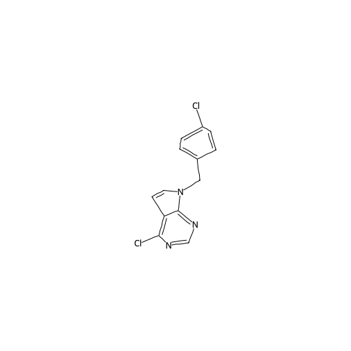 Clc1ccc(Cn2ccc3c(Cl)ncnc32)cc1